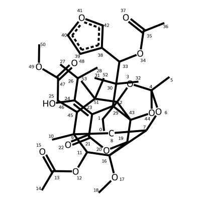 CCC12OC3(C)OC4CC(C)(C(OC(C)=O)C4(OC)C4OC(=O)/C(=C(\O)C(C)C)C(C(C)(C)C(OC(C)=O)c5ccoc5)C41O3)C(CC(=O)OC)C2(C)C